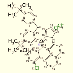 CC(C)(C)c1ccc2c(c1)-c1cc(C(C)(C)C)c[c](/[Zr+2]([C]3=CC=CC3)=[C](\c3cccc(Cl)c3)c3cccc4ccccc34)c1C2.[Cl-].[Cl-]